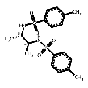 Cc1ccc(S(=O)(=O)N[C@@H](C)[C@H](C)NS(=O)(=O)c2ccc(C)cc2)cc1